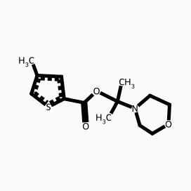 Cc1csc(C(=O)OC(C)(C)N2CCOCC2)c1